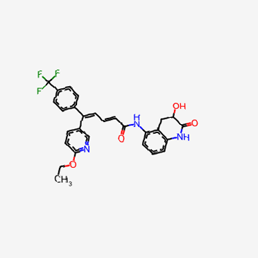 CCOc1ccc(C(=CC=CC(=O)Nc2cccc3c2CC(O)C(=O)N3)c2ccc(C(F)(F)F)cc2)cn1